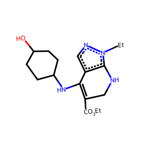 CCOC(=O)C1=C(NC2CCC(O)CC2)c2cnn(CC)c2NC1